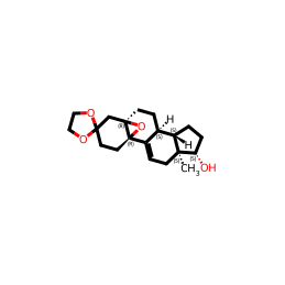 C[C@]12CC=C3[C@@H](CC[C@@]45CC6(CC[C@@]34O5)OCCO6)[C@@H]1CC[C@@H]2O